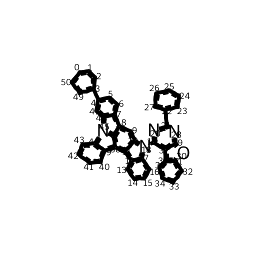 c1ccc(-c2ccc3c4cc5c(c6ccccc6n5-c5nc(-c6ccccc6)nc6oc7ccccc7c56)c5c6ccccc6n(c3c2)c45)cc1